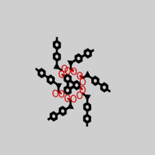 Cc1ccc(-c2ccc(C3CC3C(=O)Oc3cc4c5cc(OC(=O)C6CC6c6ccc(-c7ccc(C)cc7)cc6)c(OC(=O)C6CC6c6ccc(-c7ccc(C)cc7)cc6)cc5c5cc(OC(=O)C6CC6c6ccc(-c7ccc(C)cc7)cc6)c(OC(=O)C6CC6c6ccc(-c7ccc(C)cc7)cc6)cc5c4cc3OC(=O)C3CC3c3ccc(-c4ccc(C)cc4)cc3)cc2)cc1